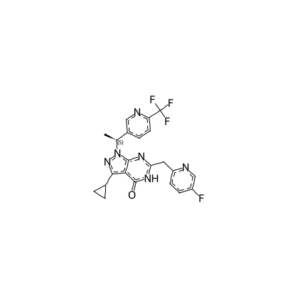 C[C@@H](c1ccc(C(F)(F)F)nc1)n1nc(C2CC2)c2c(=O)[nH]c(Cc3ccc(F)cn3)nc21